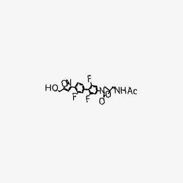 CC(=O)NCC1CN(c2cc(F)c(-c3ccc(-c4cc(CO)on4)c(F)c3)c(F)c2)C(=O)O1